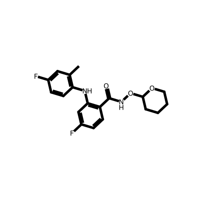 Cc1cc(F)ccc1Nc1cc(F)ccc1C(=O)NOC1CCCCO1